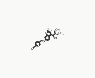 CC[C@H](CO)C(=N)c1cc(C)nc2cc(OCc3ccc(C#N)nc3)ccc12